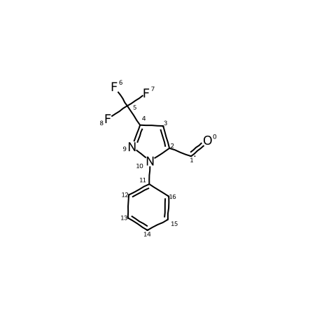 O=[C]c1cc(C(F)(F)F)nn1-c1ccccc1